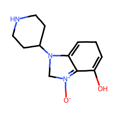 [O-][N+]1=C2C(O)=CCC=C2N(C2CCNCC2)C1